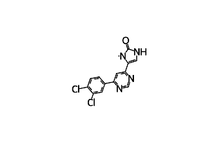 O=C1[N]C(c2cc(-c3ccc(Cl)c(Cl)c3)ncn2)=CN1